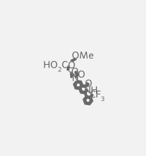 COCCOC(C[C@H]1CN(c2ccc3cc(-c4ccccc4C(F)(F)F)[nH]c(=O)c3c2)C(=O)O1)C(=O)O